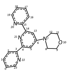 c1ccc(-c2cc(N3CCOCC3)cc(-c3ccccn3)n2)nc1